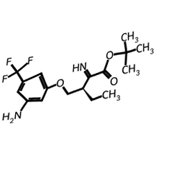 CC[C@@H](COc1cc(N)cc(C(F)(F)F)c1)C(=N)C(=O)OC(C)(C)C